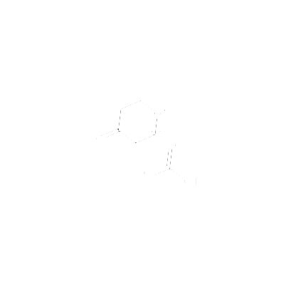 C=C1CCO[C@H](C=C(C)C)C1